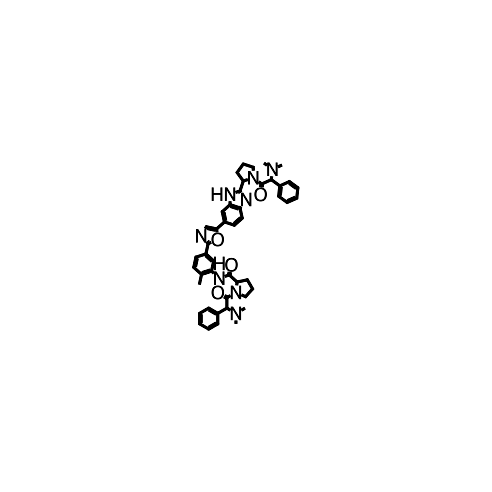 Cc1ccc(-c2ncc(-c3ccc4nc(C5CCCN5C(=O)C(c5ccccc5)N(C)C)[nH]c4c3)o2)cc1NC(=O)C1CCCN1C(=O)C(c1ccccc1)N(C)C